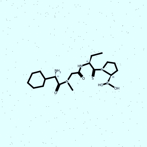 CC[C@H](NC(=O)CN(C)C(=O)[C@@H](N)C1CCCCC1)C(=S)N1CCC[C@H]1B(O)O